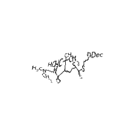 CCCCCCCCCCCCSC(=S)SCC(C(=O)NCCN(C)C)C(C)(C)C(=O)O